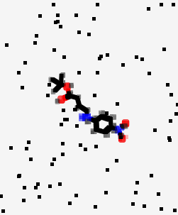 CC(C)(C)OC(=O)CCCNc1ccc([N+](=O)[O-])cc1